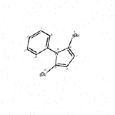 CC(C)(C)c1ccc(C(C)(C)C)n1-c1ccccc1